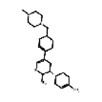 CN1CCN(C[C@@H]2CC=C(C3=CNC(N)C([C@H]4CC=C(N)CC4)C3)CC2)CC1